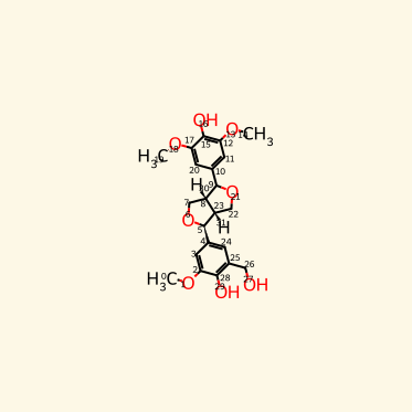 COc1cc([C@H]2OC[C@@H]3C(c4cc(OC)c(O)c(OC)c4)OC[C@H]23)cc(CO)c1O